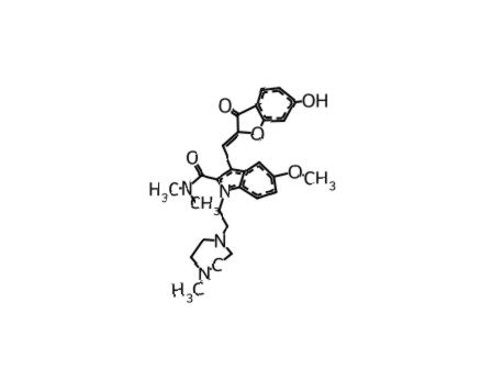 COc1ccc2c(c1)c(/C=C1\Oc3cc(O)ccc3C1=O)c(C(=O)N(C)C)n2CCN1CCN(C)CC1